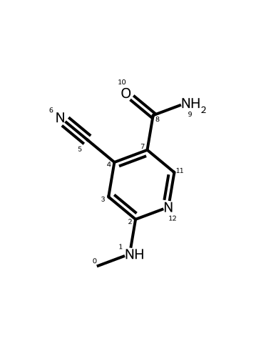 CNc1cc(C#N)c(C(N)=O)cn1